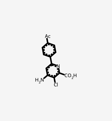 CC(=O)c1ccc(-c2cc(N)c(Cl)c(C(=O)O)n2)cc1